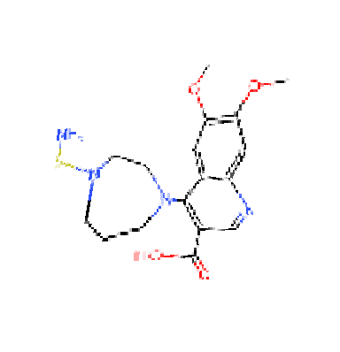 COc1cc2ncc(C(=O)O)c(N3CCCN(SN)CC3)c2cc1OC